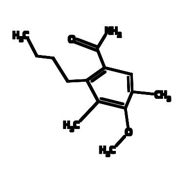 CCCCc1c(C(N)=O)cc(C)c(OC)c1C